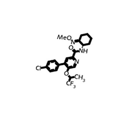 CON=C1CCCC[C@@H]1NC(=O)c1cc(-c2ccc(Cl)cc2)c(OC(C)C(F)(F)F)cn1